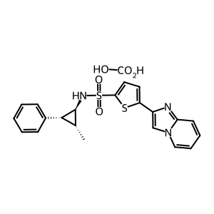 C[C@H]1[C@H](NS(=O)(=O)c2ccc(-c3cn4ccccc4n3)s2)[C@H]1c1ccccc1.O=C(O)O